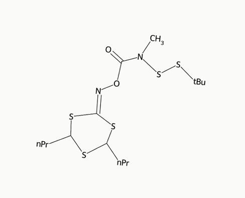 CCCC1SC(=NOC(=O)N(C)SSC(C)(C)C)SC(CCC)S1